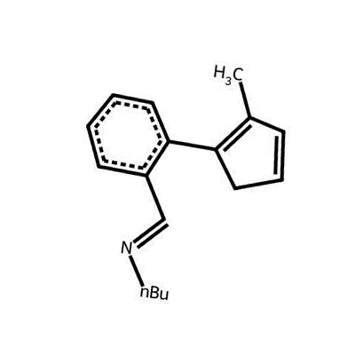 CCCCN=Cc1ccccc1C1=C(C)C=CC1